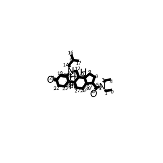 CCN(CC)C(=O)C1CC[C@H]2[C@@H]3CN(CC(C)C)C4=CC(=O)CC[C@]4(C)[C@@H]3CC[C@]12C